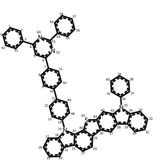 c1ccc(-c2cc(-c3ccc(-c4ccc(-n5c6ccccc6c6ccc7c8cc9c%10ccccc%10n(-c%10ccccc%10)c9cc8sc7c65)cc4)cc3)nc(-c3ccccc3)n2)cc1